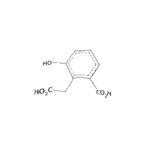 O=C(O)Cc1c(O)cccc1C(=O)O